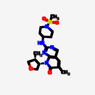 Cc1cc2cnc(NC3CCN(S(C)(=O)=O)CC3)nc2n([C@@H]2COC[C@@H]2C)c1=O